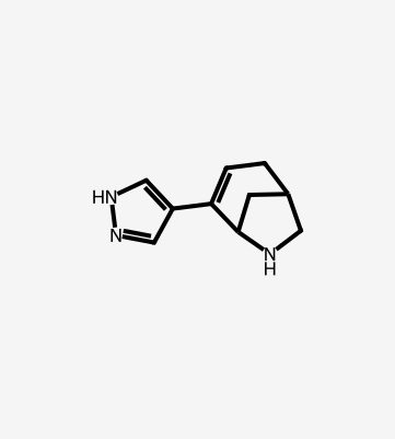 C1=C(c2cn[nH]c2)C2CC(C1)CN2